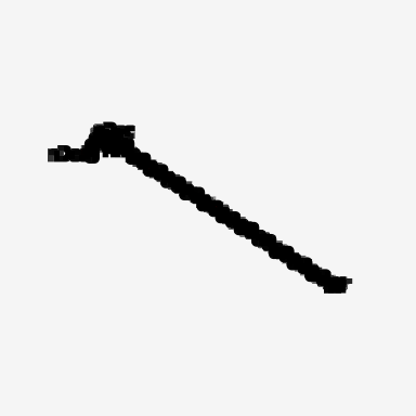 CCCCCCCCCCCC(=O)OC[C@H](COP(=O)(O)OCCNC(=O)CCOCCOCCOCCOCCOCCOCCOCCOCCOCCOCCOCCOCCOCCOCCOCCOCCOCCOCCOCCOCCOCCOCCN=[N+]=[N-])OC(=O)CCCCCCCCCCC